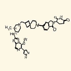 CC(C)Oc1c(-c2cn[nH]c2)ncc2nc(N[C@H]3CCN(CC4CC5(CCN(c6ccc7c(c6)CN(C6CCC(=O)NC6=O)C7=O)CC5)C4)C[C@H]3C)nn12